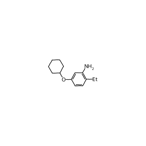 CCc1ccc(OC2CCCCC2)cc1N